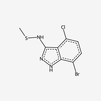 CSNc1n[nH]c2c(Br)ccc(Cl)c12